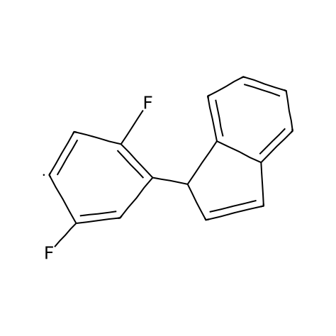 Fc1[c]cc(F)c(C2C=Cc3ccccc32)c1